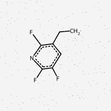 [CH2]Cc1cc(F)c(F)nc1F